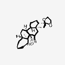 CC1([C@H]2CC[C@H]3[C@@H]4CC[C@H]5CC=CC[C@]5(C)[C@H]4/C(=N\O)C[C@]23C)OCCO1